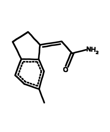 Cc1ccc2c(c1)/C(=C\C(N)=O)CC2